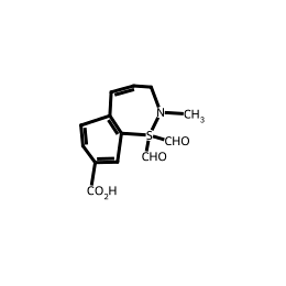 CN1CC=Cc2ccc(C(=O)O)cc2S1(C=O)C=O